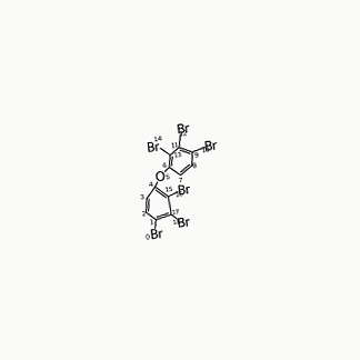 Brc1ccc(Oc2ccc(Br)c(Br)c2Br)c(Br)c1Br